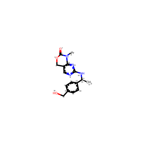 CC(C)N1C(=O)OCc2cnc(N[C@@H](C)c3ccc(CO)cc3)nc21